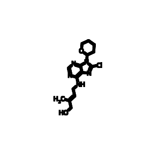 C/C(=C\CNc1ncnc2c1nc(Cl)n2C1CCCCO1)CO